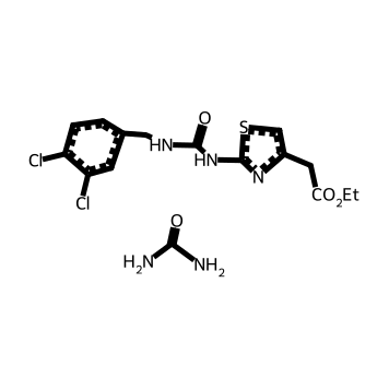 CCOC(=O)Cc1csc(NC(=O)NCc2ccc(Cl)c(Cl)c2)n1.NC(N)=O